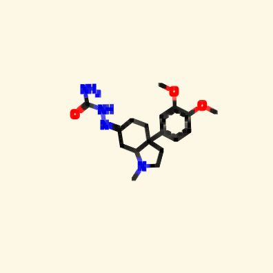 COc1ccc(C23CC/C(=N\NC(N)=O)CC2N(C)CC3)cc1OC